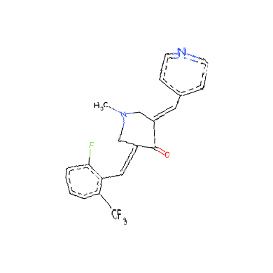 CN1C/C(=C\c2ccncc2)C(=O)/C(=C/c2c(F)cccc2C(F)(F)F)C1